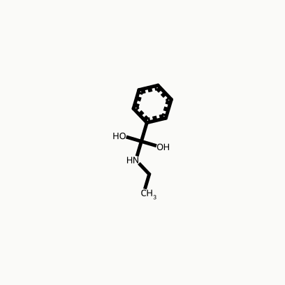 CCNC(O)(O)c1ccccc1